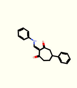 O=C1CCC(c2ccccc2)CC(=O)/C1=C\Nc1ccccc1